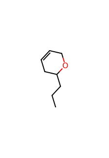 CCCC1CC=CCO1